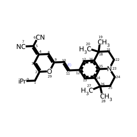 CC(C)CC1=CC(=C(C#N)C#N)C=C(/C=C/c2cc3c4c(c2)C(C)(C)CCN4CCC3(C)C)O1